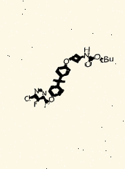 C[C@@H](Oc1ccc(C(C)(C)c2ccc(OC3CC(NC(=O)OC(C)(C)C)C3)cc2)cc1)c1ncnc(Cl)c1F